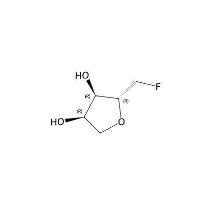 O[C@@H]1[C@H](O)CO[C@H]1CF